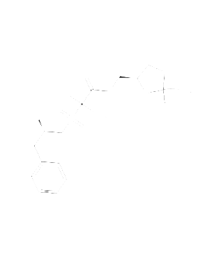 CC1(C)OC[C@H](COC(=O)C(C)(C)S(=O)(=O)C[C@@H](Cc2ccccc2)C(=O)O)O1